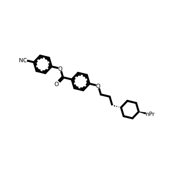 CCC[C@H]1CC[C@H](CCCOc2ccc(C(=O)Oc3ccc(C#N)cc3)cc2)CC1